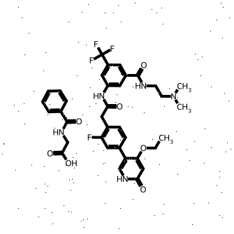 CCOc1cc(=O)[nH]cc1-c1ccc(CC(=O)Nc2cc(C(=O)NCCN(C)C)cc(C(F)(F)F)c2)c(F)c1.O=C(O)CNC(=O)c1ccccc1